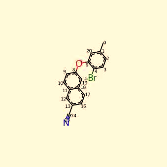 Cc1ccc(Br)c(Oc2ccc3cc(C#N)ccc3c2)c1